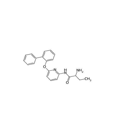 CCC(N)C(=O)Nc1cccc(Oc2ccccc2-c2ccccc2)n1